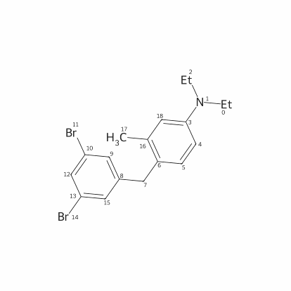 CCN(CC)c1ccc(Cc2cc(Br)cc(Br)c2)c(C)c1